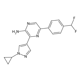 Nc1ncc(-c2ccc(C(F)F)cc2)nc1-c1cnn(C2CC2)c1